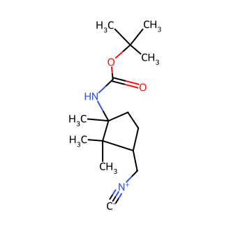 [C-]#[N+]CC1CCC(C)(NC(=O)OC(C)(C)C)C1(C)C